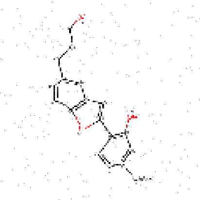 COc1ccc(-c2cc3cc(CCCO)ccc3o2)c(O)c1